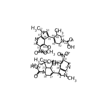 CC1C(c2cn(C)c3ncc([N+](=O)[O-])c(Cl)c23)=CCN(C(=O)O)C1C(C)(C)C.COc1c([N+](=O)[O-])cnc2c1c(C1=CCN(C(=O)O)CC1C)cn2C